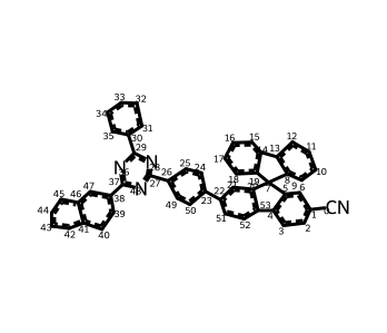 N#Cc1ccc2c(c1)C1(c3ccccc3-c3ccccc31)c1cc(-c3ccc(-c4nc(-c5ccccc5)nc(-c5ccc6ccccc6c5)n4)cc3)ccc1-2